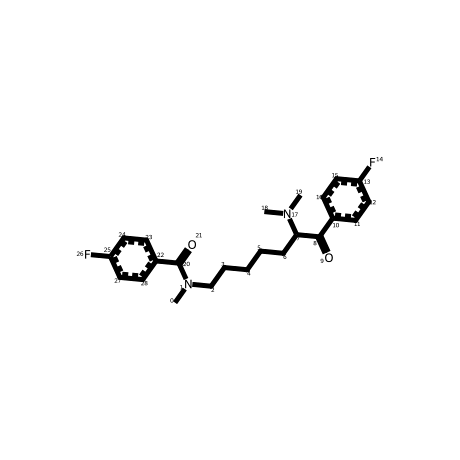 CN(CCCCCC(C(=O)c1ccc(F)cc1)N(C)C)C(=O)c1ccc(F)cc1